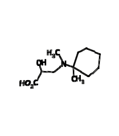 CN(CC(O)C(=O)O)C1(C)CCCCC1